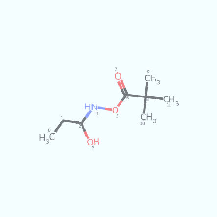 CCC(O)NOC(=O)C(C)(C)C